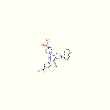 CCC(=O)N1CCN(c2nc(N3CCN(C(=O)OC(C)(C)C)CC3)c3c(c2C#N)CN(c2cccc4ccccc24)CC3)CC1